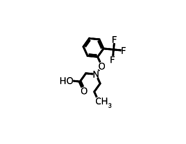 CCCN(CC(=O)O)Oc1ccccc1C(F)(F)F